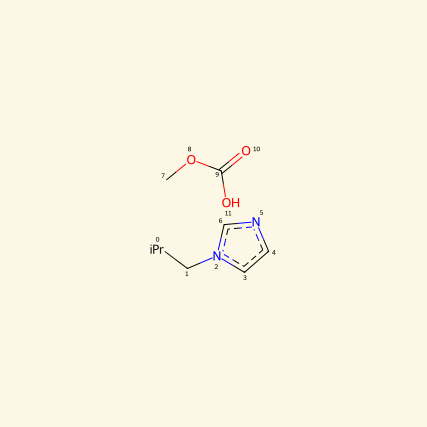 CC(C)Cn1ccnc1.COC(=O)O